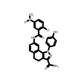 C[S+]([O-])c1ccc(Cl)c(C(=O)Nc2ccc3c(c2)-c2c(c(C(N)=O)nn2-c2ccc(O)cc2)CC3)c1